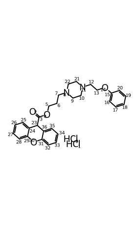 Cl.Cl.O=C(OCCCN1CCN(CCOc2ccccc2)CC1)C1c2ccccc2Oc2ccccc21